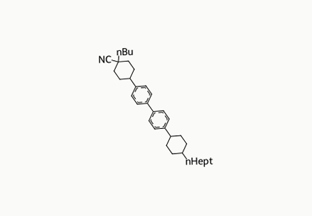 CCCCCCCC1CCC(c2ccc(-c3ccc(C4CCC(C#N)(CCCC)CC4)cc3)cc2)CC1